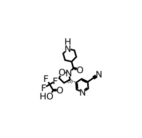 N#Cc1cncc([C@@H]2CCON2C(=O)C2CCNCC2)c1.O=C(O)C(F)(F)F